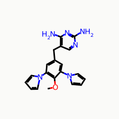 COc1c(-n2cccc2)cc(Cc2cnc(N)nc2N)cc1-n1cccc1